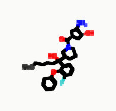 COCCCC[C@@](O)(c1cccc(F)c1Oc1ccccc1)C1CCCN(C(=O)[C@H]2C[C@@H](N)[C@H](O)C2)C1